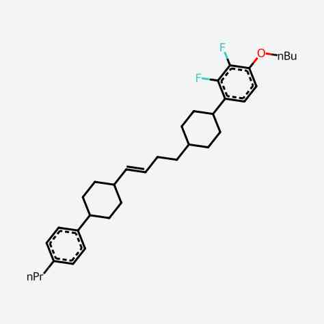 CCCCOc1ccc(C2CCC(CC/C=C/C3CCC(c4ccc(CCC)cc4)CC3)CC2)c(F)c1F